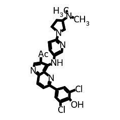 CC(=O)c1cnc2ccc(-c3cc(Cl)c(O)c(Cl)c3)nc2c1Nc1ccc(N2CCC(N(C)C)C2)nc1